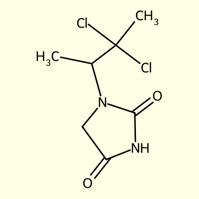 CC(N1CC(=O)NC1=O)C(C)(Cl)Cl